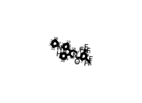 O=C(c1cc(C(F)(F)F)cc(C(F)(F)F)c1)N1CCC(c2cccc(Nc3ccccc3)c2)C(c2ccccc2)C1